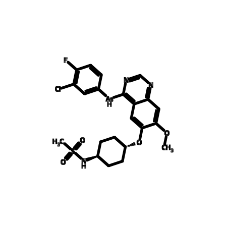 COc1cc2ncnc([AsH]c3ccc(F)c(Cl)c3)c2cc1O[C@H]1CC[C@H](NS(C)(=O)=O)CC1